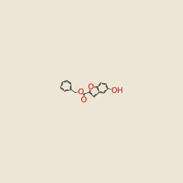 O=C(OCc1ccccc1)c1cc2cc(O)ccc2o1